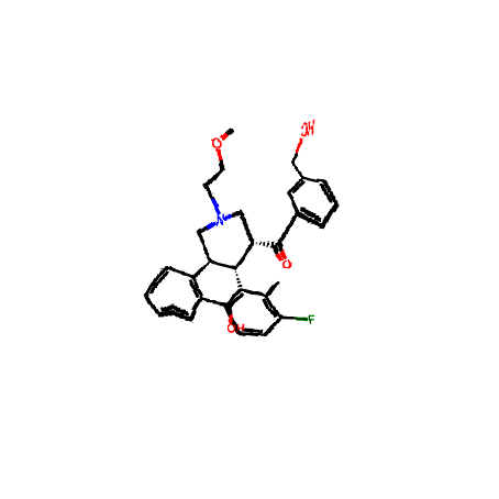 COCCN1C[C@H](C(=O)c2cccc(CO)c2)[C@H](c2cccc(F)c2C)[C@@H](c2[c]cccc2CO)C1